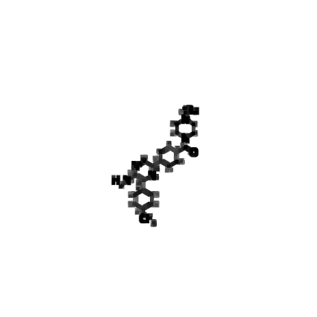 CC(C)(C)N1CCN(C(=O)c2ccc(-c3cnc(N)c(-c4ccc(C(F)(F)F)cc4)n3)cc2)CC1